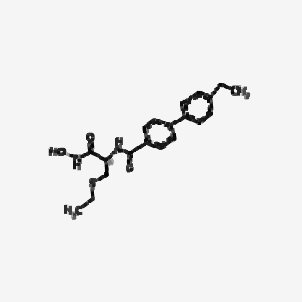 CCSC[C@H](NC(=O)c1ccc(-c2ccc(CC)cc2)cc1)C(=O)NO